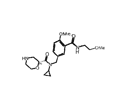 COCCNC(=O)c1cc(CN(C(=O)[C@H]2CNCCO2)C2CC2)ccc1OC